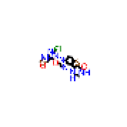 C[C@@H]1CNc2c(sc3ccc4nc(Oc5nc(Cl)ncc5CS(C)(=N)=O)cnc4c23)C(=O)N1